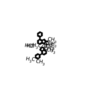 CC1=Cc2c(-c3ccc(C)c(C)c3)ccc(C)c2[CH]1[Zr]([CH3])([CH3])(=[SiH2])[CH]1C(C(C)C)=Cc2c(-c3ccccc3)cccc21.Cl.Cl